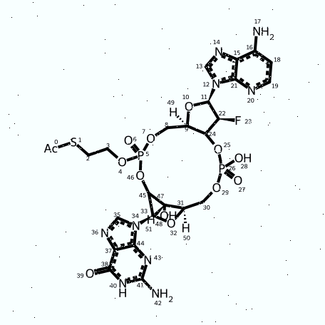 CC(=O)SCCOP1(=O)OC[C@H]2O[C@@H](n3cnc4c(N)ccnc43)[C@@H](F)C2OP(=O)(O)OC[C@H]2O[C@@H](n3cnc4c(=O)[nH]c(N)nc43)C(O1)[C@H]2O